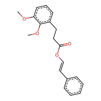 COc1cccc(CCC(=O)OC=Cc2ccccc2)c1OC